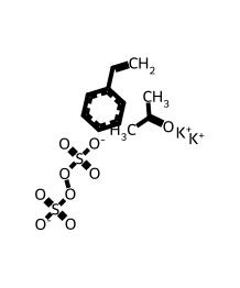 C=Cc1ccccc1.CC(C)=O.O=S(=O)([O-])OOS(=O)(=O)[O-].[K+].[K+]